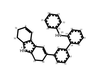 C1=Cc2c([nH]c3c2C=C(c2cccc(-c4ccccc4Nc4ccccc4)c2)CC3)CC1